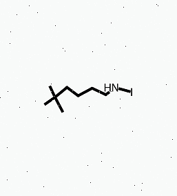 CC(C)(C)CCCCNI